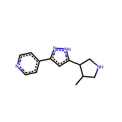 CC1CNCC1c1cc(-c2ccncc2)n[nH]1